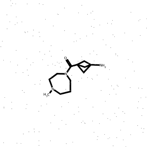 CN1CCCN(C(=O)C23CC(N)(C2)C3)CC1